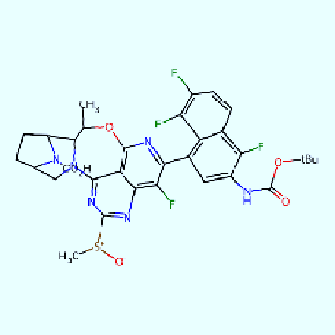 CC1Oc2nc(-c3cc(NC(=O)OC(C)(C)C)c(F)c4ccc(F)c(F)c34)c(F)c3nc([S+](C)[O-])nc(c23)N2CC3CCC(C12)N3C(=O)O